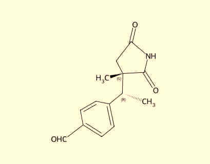 C[C@H](c1ccc(C=O)cc1)[C@]1(C)CC(=O)NC1=O